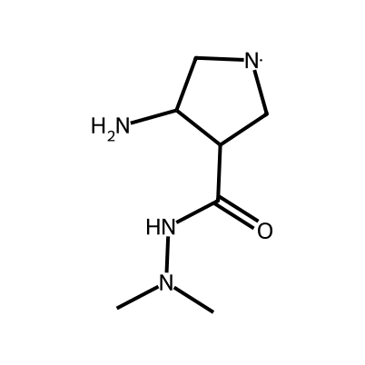 CN(C)NC(=O)C1C[N]CC1N